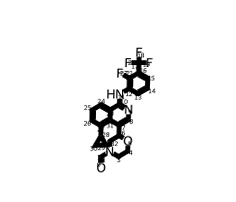 O=CN1CCOC(c2cnc(Nc3cccc(C(F)(F)F)c3F)c3cccc(C4CC4)c23)C1